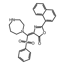 O=C1OC(c2cccc3ccccc23)=NC1=C(N1CCCNCC1)S(=O)(=O)c1ccccc1